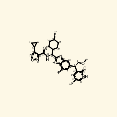 COC[C@H](c1cc(F)c2oc([C@@H](NC(=O)c3nonc3C3CC3)C3CCC(F)CC3)nc2c1)c1cc(F)c[nH]c1=O